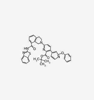 CC(C)(C)OC(=O)c1nc(N2CCc3cccc(C(=O)Nc4nc5ccccc5s4)c3C2)ccc1-c1ccnc(Oc2ccccc2)c1